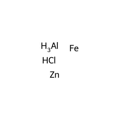 Cl.[AlH3].[Fe].[Zn]